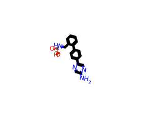 Nc1cnc(-c2ccc(-c3ccccc3CN[SH](=O)=O)cc2)cn1